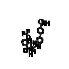 O=C1N[C@@H]2C[C@H](c3c(OC(F)F)cccc31)n1c2nc2ccc(-c3ccc(C4CCCN4)cc3)cc21